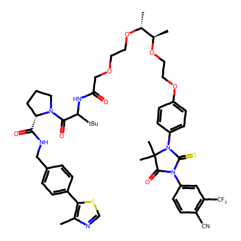 Cc1ncsc1-c1ccc(CNC(=O)[C@@H]2CCCN2C(=O)C(NC(=O)COCCO[C@H](C)[C@@H](C)OCCOc2ccc(N3C(=S)N(c4ccc(C#N)c(C(F)(F)F)c4)C(=O)C3(C)C)cc2)C(C)(C)C)cc1